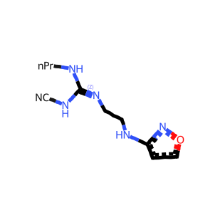 CCCN/C(=N/CCNc1ccon1)NC#N